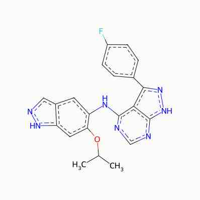 CC(C)Oc1cc2[nH]ncc2cc1Nc1ncnc2[nH]nc(-c3ccc(F)cc3)c12